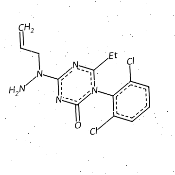 C=CCN(N)c1nc(CC)n(-c2c(Cl)cccc2Cl)c(=O)n1